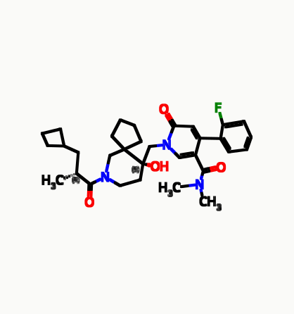 C[C@H](CC1CCC1)C(=O)N1CC[C@@](O)(Cn2cc(C(=O)N(C)C)c(-c3ccccc3F)cc2=O)C2(CCCC2)C1